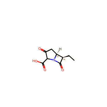 CC[C@H]1C(=O)N2C(C(=O)O)C(=O)C[C@@H]12